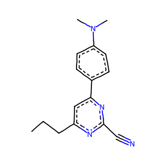 CCCc1cc(-c2ccc(N(C)C)cc2)nc(C#N)n1